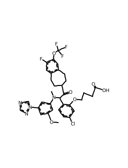 COc1cc(N(C)C(C(=O)C2CCc3cc(F)c(OC(F)(F)F)cc3CC2)c2ccc(Cl)cc2OCCCC(=O)O)cc(-n2cncn2)c1